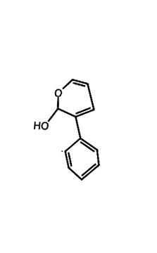 OC1OC=CC=C1c1[c]cccc1